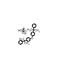 CC(C)(c1ccccc1)c1ccc(Oc2ccc(C(C)(C)c3ccccc3)cc2)cc1.O=S(=O)(O)O